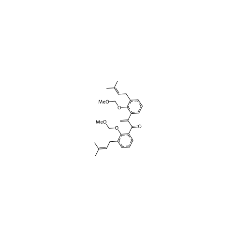 C=C(C(=O)c1cccc(CC=C(C)C)c1OCOC)c1cccc(CC=C(C)C)c1OCOC